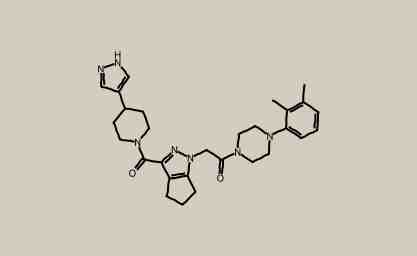 Cc1cccc(N2CCN(C(=O)Cn3nc(C(=O)N4CCC(c5cn[nH]c5)CC4)c4c3CCC4)CC2)c1C